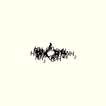 CCC[P@@]1OCC2OC(n3cnc4c(N)ncnc43)C(F)C2OP(=O)(O)OCC2OC(N3CNc4c3nc(N)[nH]c4=O)C(O1)C2O